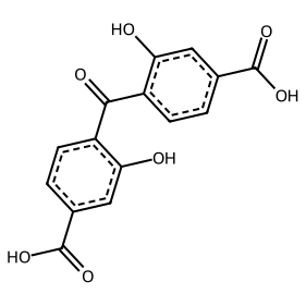 O=C(O)c1ccc(C(=O)c2ccc(C(=O)O)cc2O)c(O)c1